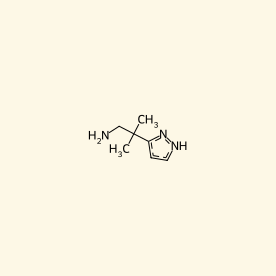 CC(C)(CN)c1cc[nH]n1